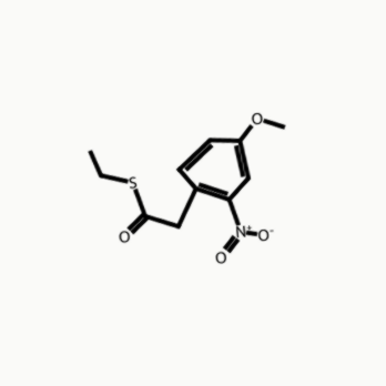 CCSC(=O)Cc1ccc(OC)cc1[N+](=O)[O-]